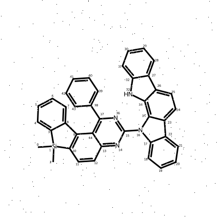 C[Si]1(C)c2ccccc2-c2c1ccc1nc(-n3c4ccccc4c4ccc5c6ccccc6[nH]c5c43)nc(-c3ccccc3)c21